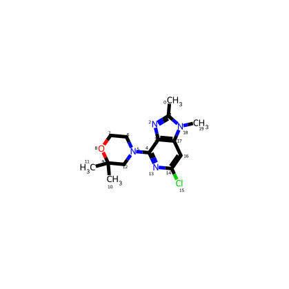 Cc1nc2c(N3CCOC(C)(C)C3)nc(Cl)cc2n1C